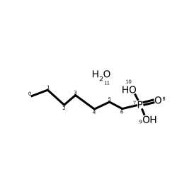 CCCCCCCP(=O)(O)O.O